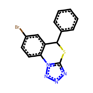 Brc1ccc2c(c1)C(c1ccccc1)Sc1nnnn1-2